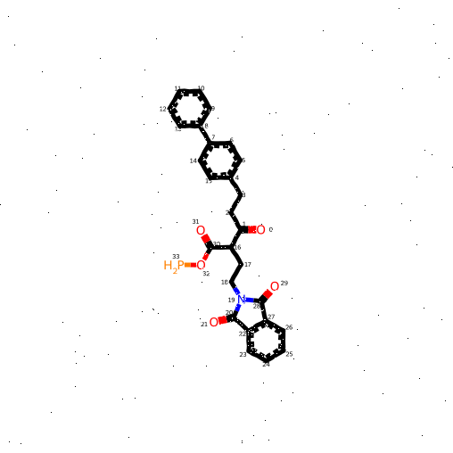 O=C(CCc1ccc(-c2ccccc2)cc1)C(CCN1C(=O)c2ccccc2C1=O)C(=O)OP